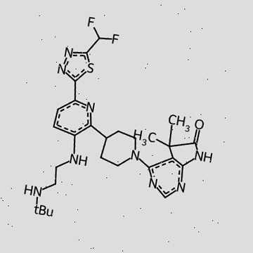 CC(C)(C)NCCNc1ccc(-c2nnc(C(F)F)s2)nc1C1CCN(c2ncnc3c2C(C)(C)C(=O)N3)CC1